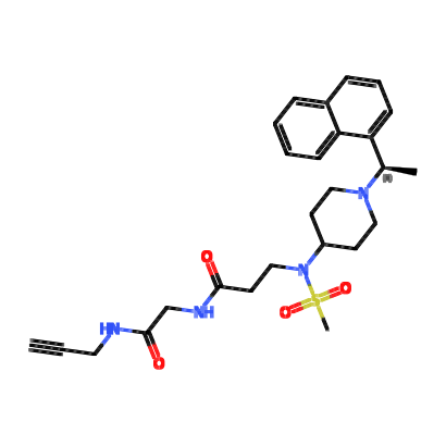 C#CCNC(=O)CNC(=O)CCN(C1CCN([C@H](C)c2cccc3ccccc23)CC1)S(C)(=O)=O